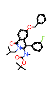 CC(C)Cn1c(N(C)C(=O)OC(C)(C)C)c(-c2cccc(F)c2)c2cc(OCc3ccccc3)ccc2c1=O